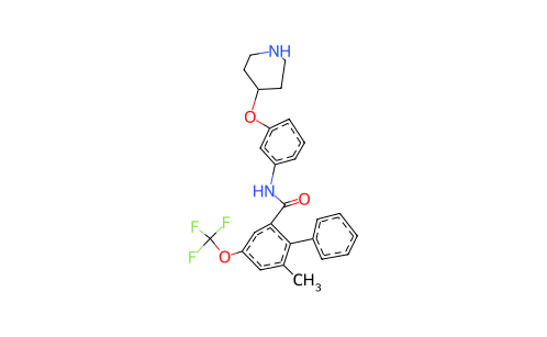 Cc1cc(OC(F)(F)F)cc(C(=O)Nc2cccc(OC3CCNCC3)c2)c1-c1ccccc1